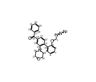 [N-]=[N+]=NCOc1ccccc1-c1ccc(C(=O)c2ccccc2)cc1N1CCOCC1